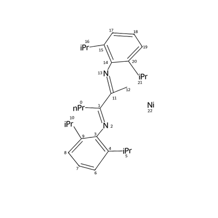 CCCC(=Nc1c(C(C)C)cccc1C(C)C)C(C)=Nc1c(C(C)C)cccc1C(C)C.[Ni]